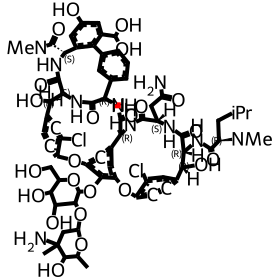 CNC(=O)[C@H]1NC(=O)[C@H]2NC(=O)[C@H](NC(=O)[C@@H]3NC(=O)[C@H](CC(N)=O)NC(=O)[C@H](NC(=O)[C@@H](CC(C)C)NC)[C@H](O)c4ccc(c(Cl)c4)Oc4cc3cc(c4OC3OC(CO)C(O)C(O)C3OC3CC(C)(N)C(O)C(C)O3)Oc3ccc(cc3Cl)[C@H]2O)c2cccc(c2)-c2c(C(O)O)cc(O)cc21